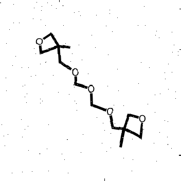 CC1(COCOCOCC2(C)COC2)COC1